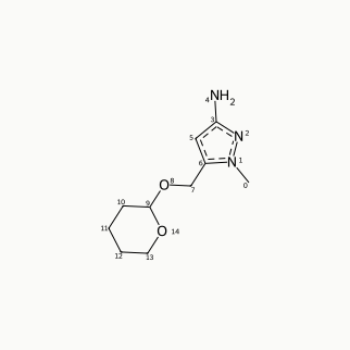 Cn1nc(N)cc1COC1CCCCO1